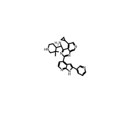 CC1(C)CNCCC1C(N)c1nc(-c2ccnc3[nH]c(-c4cccnc4)cc23)nc2cncc(C3CC3)c12